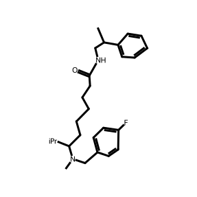 CC(CNC(=O)CCCCCC(C(C)C)N(C)Cc1ccc(F)cc1)c1ccccc1